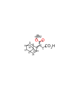 CCC(C)OC(=O)C(CC(=O)O)=C1C2CC3CC(C2)CC1C3